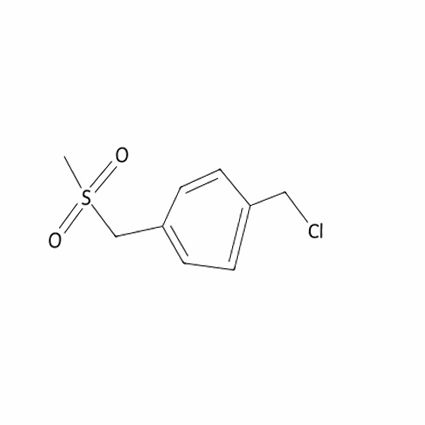 CS(=O)(=O)Cc1ccc(CCl)cc1